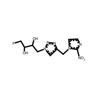 O=[N+]([O-])c1nccn1Cc1cn(CC(O)C(O)CF)nn1